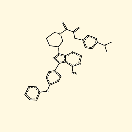 C=C(C[n+]1ccc(N(C)C)cc1)C(=O)N1CCC[C@@H](n2nc(-c3ccc(Oc4ccccc4)cc3)c3c(N)ncnc32)C1